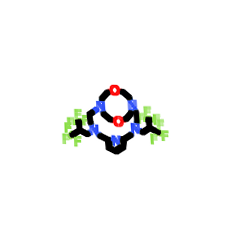 FC(F)(F)C(CN1CCN2CCOCCN(CCOCC2)CCN(CC(C(F)(F)F)C(F)(F)F)Cc2cccc(n2)C1)C(F)(F)F